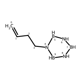 C=CCCN1BNBNB1